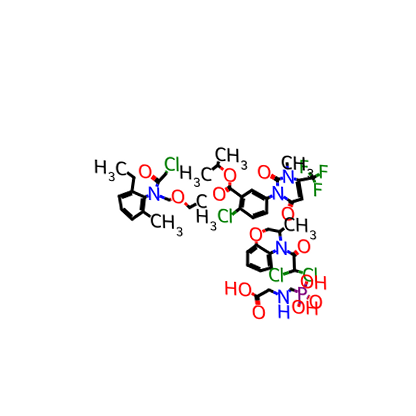 CC(C)OC(=O)c1cc(-n2c(=O)cc(C(F)(F)F)n(C)c2=O)ccc1Cl.CC1COc2ccccc2N1C(=O)C(Cl)Cl.CCOCN(C(=O)CCl)c1c(C)cccc1CC.O=C(O)CNCP(=O)(O)O